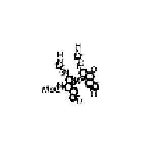 CC12CCC3C(CC(=O)C4C/C(=N\OC5CCNC5)CCC43CO)C1CCC2=O.CO/N=C1\CC2C3CCC(=O)C3(C)CCC2C2(CO)CC/C(=N/OC3CCNC3)CC12